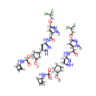 CO[C@@H]1C[C@H](c2cc(NC(=O)c3cc(OCC(F)F)nn3C)n[nH]2)C[C@@H]1OC(=O)NC12CC(C1)C2.CO[C@H]1C[C@@H](c2cc(NC(=O)c3cc(OCC(F)F)nn3C)n[nH]2)C[C@H]1OC(=O)NC12CC(C1)C2